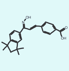 CC1(C)CC(C)(C)c2cc(C(C=Cc3ccc(C(=O)O)cc3)=NO)ccc21